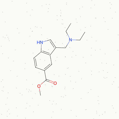 CCN(CC)Cc1c[nH]c2ccc(C(=O)OC)cc12